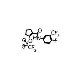 O=C(Nc1ccc(F)c(C(F)(F)F)c1)C1=C(OS(=O)(=O)C(F)(F)F)CCC1